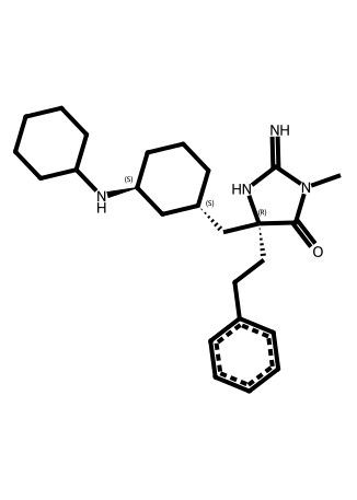 CN1C(=N)N[C@](CCc2ccccc2)(C[C@H]2CCC[C@H](NC3CCCCC3)C2)C1=O